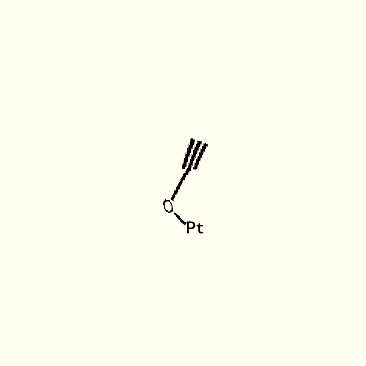 C#C[O][Pt]